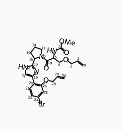 C=CCOCC(NC(=O)OC)C(=O)N1CCCC1c1nc(-c2ccc(Br)cc2OCC=C)c[nH]1